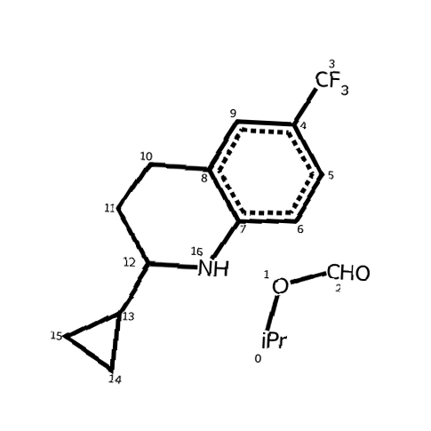 CC(C)OC=O.FC(F)(F)c1ccc2c(c1)CCC(C1CC1)N2